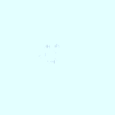 C=C.CC(C)SP(O)(O)=S.c1ccc(Sc2ccccc2)cc1